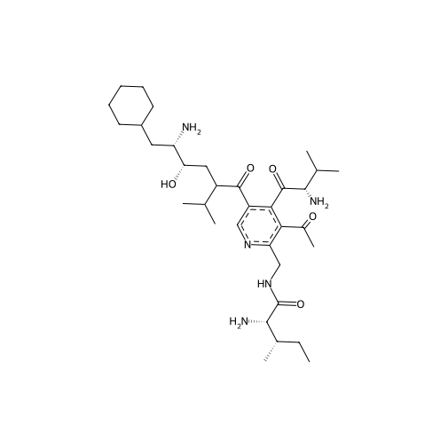 CC[C@H](C)[C@H](N)C(=O)NCc1ncc(C(=O)C(C[C@H](O)[C@@H](N)CC2CCCCC2)C(C)C)c(C(=O)[C@@H](N)C(C)C)c1C(C)=O